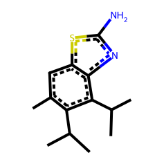 Cc1cc2sc(N)nc2c(C(C)C)c1C(C)C